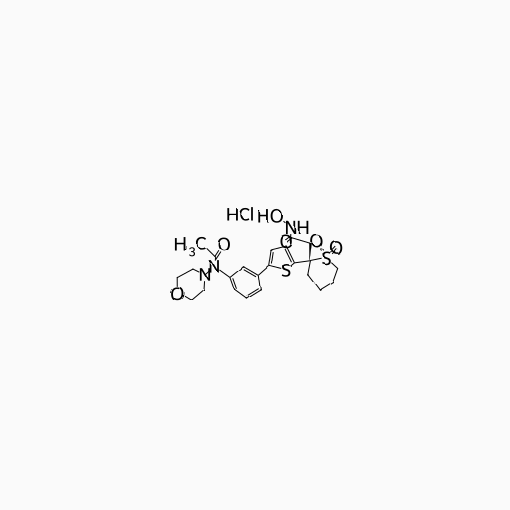 CC(=O)N(c1cccc(-c2ccc([C@@]3(CC(=O)NO)CCCCS3(=O)=O)s2)c1)N1CCOCC1.Cl